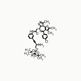 Cc1sc2c(c1C)C(c1ccc(Cl)cc1)=N[C@@H](CC(=O)Nc1cccc(C#CC(N)COP(=O)(OC(C)(C)C)OC(C)(C)C)c1)c1nnc(C)n1-2